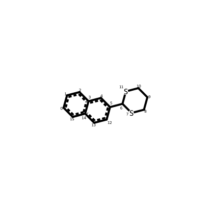 c1ccc2cc(C3SCCCS3)ccc2c1